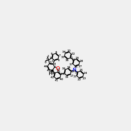 CC1(C)C2=C(c3ccccc31)C1Oc3c(-c4ccc(N(c5ccccc5)c5cccc(-c6ccccc6)c5)cc4)cccc3[C@@H]1C=C2